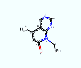 Cc1cc(=O)n(CC(C)(C)C)c2ncncc12